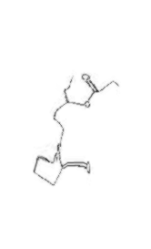 CCC(CCN1CCCC1=O)OC(C)=O